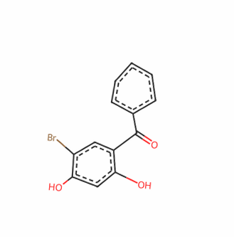 O=C(c1ccccc1)c1cc(Br)c(O)cc1O